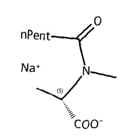 CCCCCC(=O)N(C)[C@@H](C)C(=O)[O-].[Na+]